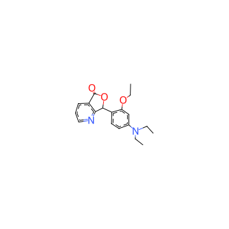 CCOc1cc(N(CC)CC)ccc1C1OC(=O)c2cccnc21